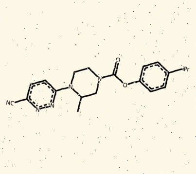 CC(C)c1ccc(OC(=O)N2CCN(c3ccc(C#N)nn3)C(C)C2)cc1